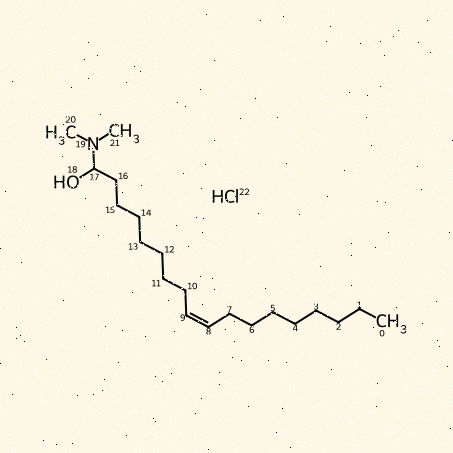 CCCCCCCC/C=C\CCCCCCCC(O)N(C)C.Cl